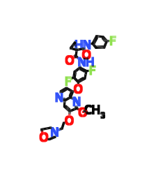 COc1nc2c(Oc3cc(F)c(NC(=O)C4(C(=O)Nc5ccc(F)cc5)CC4)cc3F)ccnc2cc1OCCN1CCOCC1